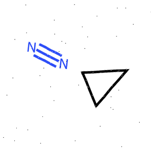 C1CC1.N#N